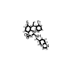 CC(c1ccccc1F)c1c(F)ccc2c1NC(NCc1ccc3nccn3c1)=NS2(=O)=O